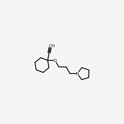 C#CC1(OCCCN2CCCC2)CCCCC1